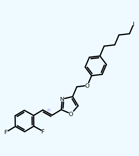 Fc1ccc(/C=C/c2nc(COc3ccc(CCCCI)cc3)co2)c(F)c1